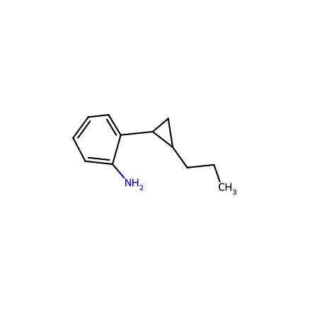 CCCC1CC1c1ccccc1N